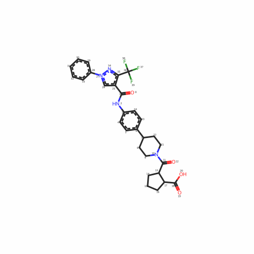 O=C(Nc1ccc(C2CCN(C(=O)C3CCCC3C(=O)O)CC2)cc1)c1cn(-c2ccccc2)nc1C(F)(F)F